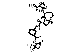 CNC(C)C(=O)N[C@H]1CCCC[C@H]2CC[C@@H](C(=O)NCc3cccc(C(=O)OC4C(=O)OCC4(C)C)c3)N2C1=O